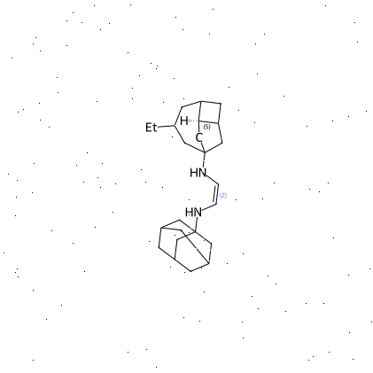 CCC1CC2CC3CC(N/C=C\NC45CC6CC(CC(C6)C4)C5)(C1)C[C@@H]23